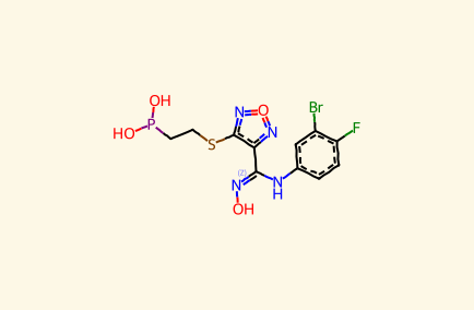 O/N=C(\Nc1ccc(F)c(Br)c1)c1nonc1SCCP(O)O